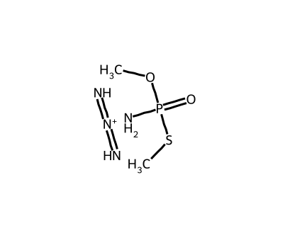 COP(N)(=O)SC.N=[N+]=N